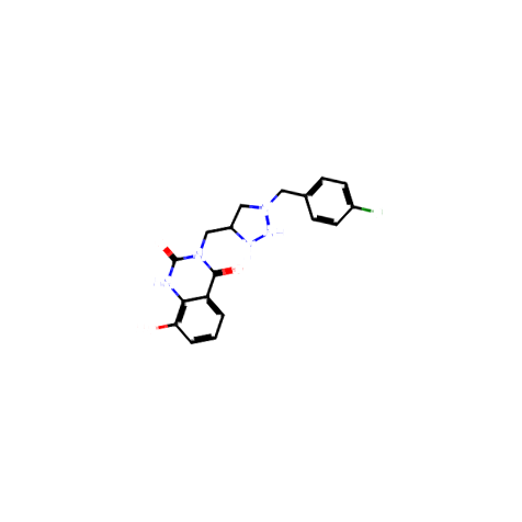 O=c1[nH]c2c(O)cccc2c(=O)n1CC1CN(Cc2ccc(Cl)cc2)NN1